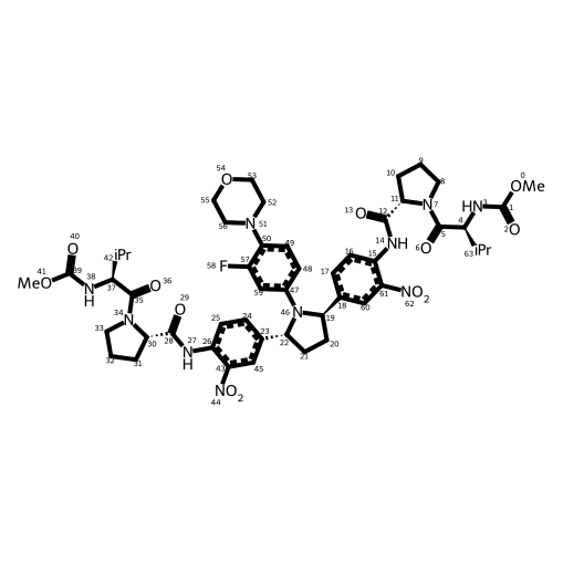 COC(=O)N[C@H](C(=O)N1CCC[C@H]1C(=O)Nc1ccc([C@H]2CC[C@H](c3ccc(NC(=O)[C@@H]4CCCN4C(=O)[C@@H](NC(=O)OC)C(C)C)c([N+](=O)[O-])c3)N2c2ccc(N3CCOCC3)c(F)c2)cc1[N+](=O)[O-])C(C)C